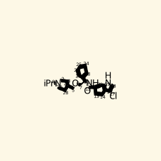 CC(C)N1CCC(COC[C@H](NC(=O)c2ccc3c(Cl)c[nH]c3c2)c2ccccc2)CC1